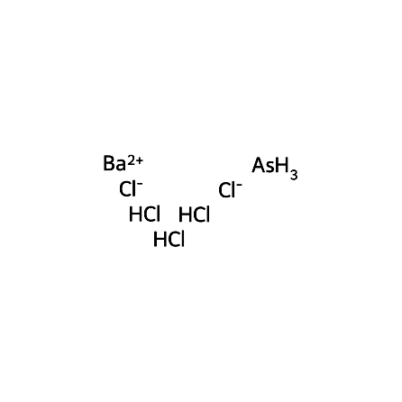 Cl.Cl.Cl.[AsH3].[Ba+2].[Cl-].[Cl-]